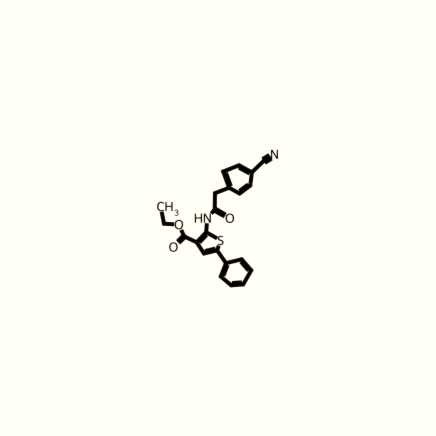 CCOC(=O)c1cc(-c2ccccc2)sc1NC(=O)Cc1ccc(C#N)cc1